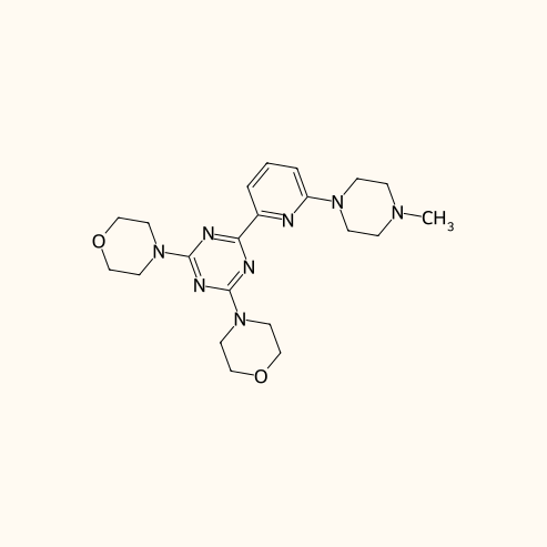 CN1CCN(c2cccc(-c3nc(N4CCOCC4)nc(N4CCOCC4)n3)n2)CC1